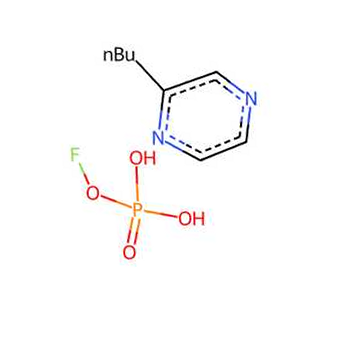 CCCCc1cnccn1.O=P(O)(O)OF